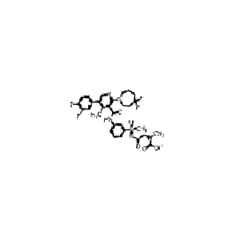 Cc1c(-c2ccc(F)c(F)c2)cnc(N2CCCC(F)(F)CC2)c1C(=O)Nc1cccc(S(C)(=O)=NC(=O)CN(C)C(=O)O)c1